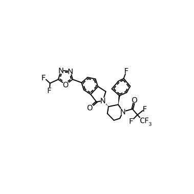 O=C1c2cc(-c3nnc(C(F)F)o3)ccc2CN1[C@H]1CCCN(C(=O)C(F)(F)C(F)(F)F)[C@@H]1c1ccc(F)cc1